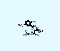 CCN(CC)CC.CCNC(=O)[C@@H](NC(=O)c1cc(S(=O)(=O)O)ccc1O)[C@@H](C)O